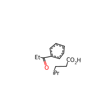 CC(C)CCC(=O)O.CCC(=O)c1ccccc1